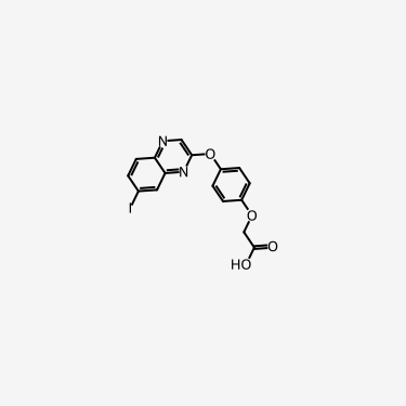 O=C(O)COc1ccc(Oc2cnc3ccc(I)cc3n2)cc1